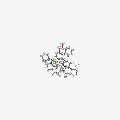 CCCc1ccc2c(c1-c1ccccc1C(C)C)C=C(C(C)CC)[CH]2[Zr]([Cl])([Cl])([c]1cccc2c1[SiH2]c1ccccc1-2)[CH]1C(C(C)CC)=Cc2c1ccc(CCC)c2-c1ccccc1C(C)C